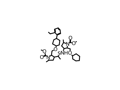 CCc1ccccc1C1CCC(OCC2C(C(C)SNC3CC(C)N(C(=O)OC)C3COC3CCCCC3)CC(C)N2C(=O)OC)CC1